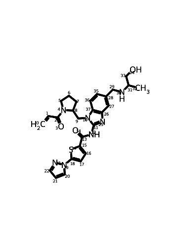 C=CC(=O)N1CCCC1Cn1c(NC(=O)c2ccc(-n3cccn3)s2)nc2cc(CNC(C)CO)ccc21